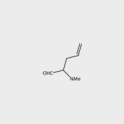 C=CCC([C]=O)NC